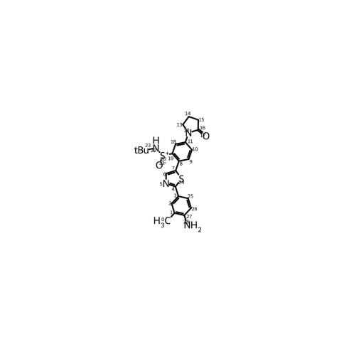 Cc1cc(-c2ncc(-c3ccc(N4CCCC4=O)cc3[S+]([O-])NC(C)(C)C)s2)ccc1N